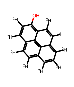 [2H]c1c([2H])c2c([2H])c([2H])c3c([2H])c([2H])c(O)c4c([2H])c([2H])c(c1[2H])c2c34